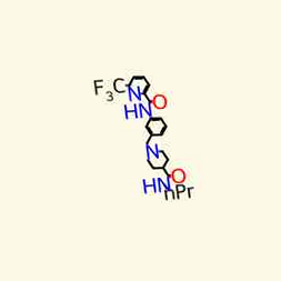 CCCNC(=O)C1CCN(Cc2cccc(NC(=O)c3cccc(C(F)(F)F)n3)c2)CC1